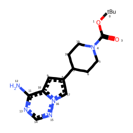 CC(C)(C)OC(=O)N1CCC(c2cc3c(N)ncnn3c2)CC1